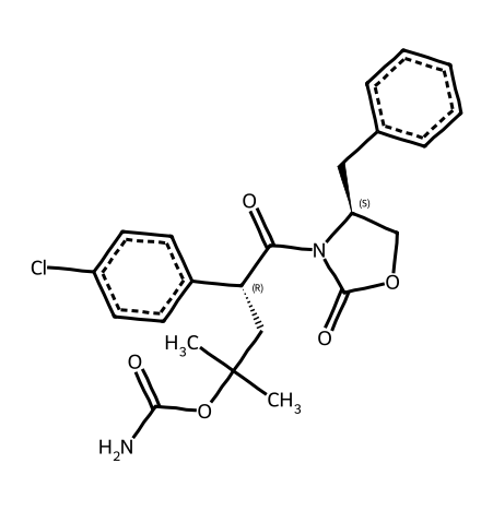 CC(C)(C[C@@H](C(=O)N1C(=O)OC[C@@H]1Cc1ccccc1)c1ccc(Cl)cc1)OC(N)=O